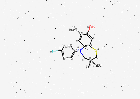 CCCC[C@]1(CC)CSc2cc(O)c(SC)cc2N(c2ccc(F)cc2)C1